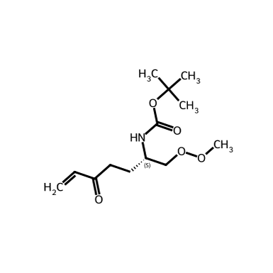 C=CC(=O)CC[C@@H](COOC)NC(=O)OC(C)(C)C